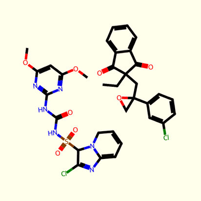 CCC1(CC2(c3cccc(Cl)c3)CO2)C(=O)c2ccccc2C1=O.COc1cc(OC)nc(NC(=O)NS(=O)(=O)C2C(Cl)=NC3=CC=CCN32)n1